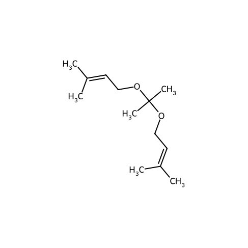 CC(C)=CCOC(C)(C)OCC=C(C)C